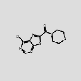 O=C(c1nc2c(Cl)ncnc2s1)N1CCOCC1